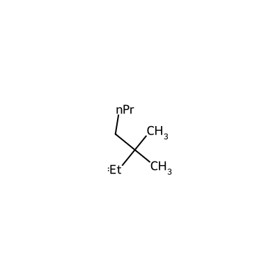 C[C]C(C)(C)CCCC